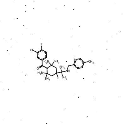 BC1(B)CC(F)(C(B)(B)NCc2ccc(C)cn2)CC(B)(B)N1C(=O)c1ccc(F)c(Cl)c1